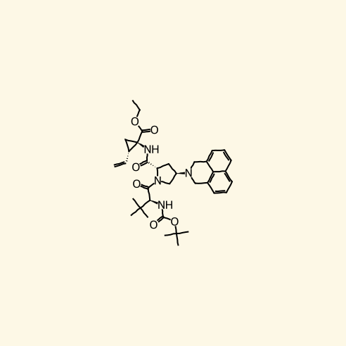 C=C[C@@H]1C[C@]1(NC(=O)[C@@H]1C[C@@H](N2Cc3cccc4cccc(c34)C2)CN1C(=O)[C@@H](NC(=O)OC(C)(C)C)C(C)(C)C)C(=O)OCC